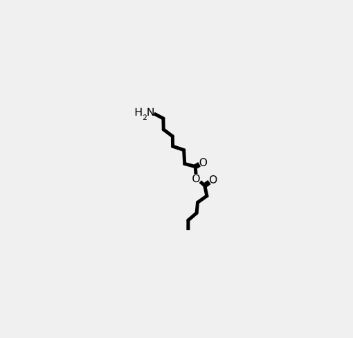 CCCCCC(=O)OC(=O)CCCCCCN